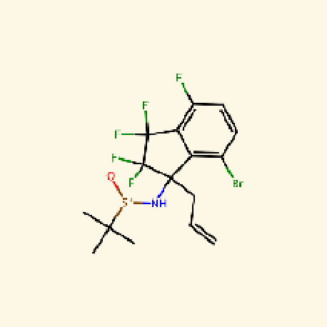 C=CCC1(N[S+]([O-])C(C)(C)C)c2c(Br)ccc(F)c2C(F)(F)C1(F)F